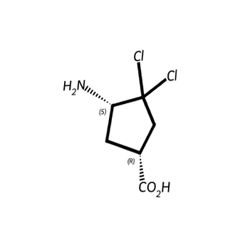 N[C@H]1C[C@@H](C(=O)O)CC1(Cl)Cl